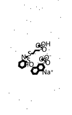 O=S(=O)(O)CCCSc1nc2ccccc2s1.O=S(=O)([O-])c1ccc2cccc(O)c2c1.[Na+]